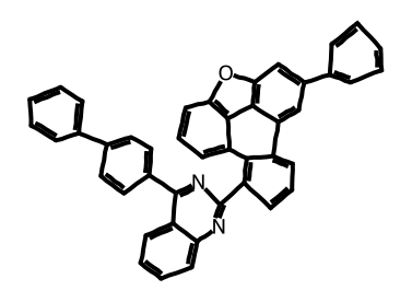 c1ccc(-c2ccc(-c3nc(-c4cccc5c6cc(-c7ccccc7)cc7oc8cccc(c45)c8c76)nc4ccccc34)cc2)cc1